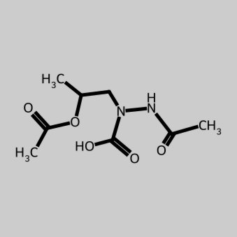 CC(=O)NN(CC(C)OC(C)=O)C(=O)O